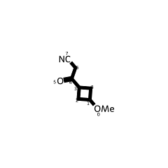 COC1CC(C(=O)CC#N)C1